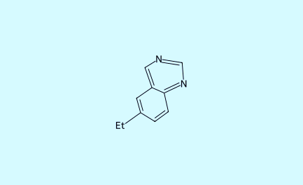 [CH2]Cc1ccc2ncncc2c1